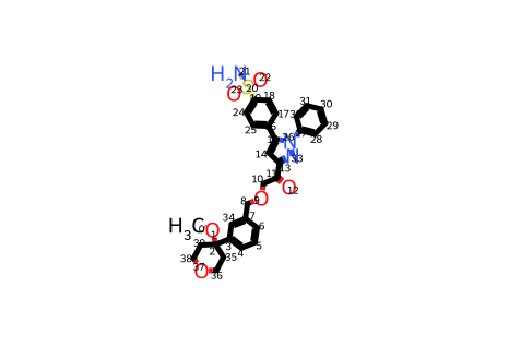 COC1(c2cccc(COCC(=O)c3cc(-c4ccc(S(N)(=O)=O)cc4)n(-c4ccccc4)n3)c2)CCOCC1